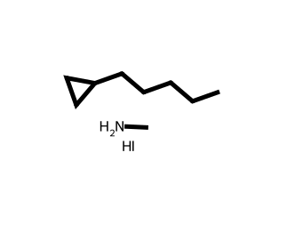 CCCCCC1CC1.CN.I